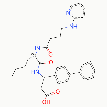 CCCC[C@H](NC(=O)CCCNc1ccccn1)C(=O)NC(CC(=O)O)c1ccc(-c2ccccc2)cc1